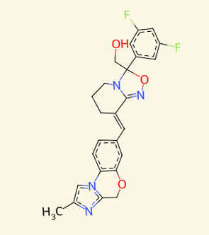 Cc1cn2c(n1)COc1cc(/C=C3\CCCN4C3=NOC4(CO)c3cc(F)cc(F)c3)ccc1-2